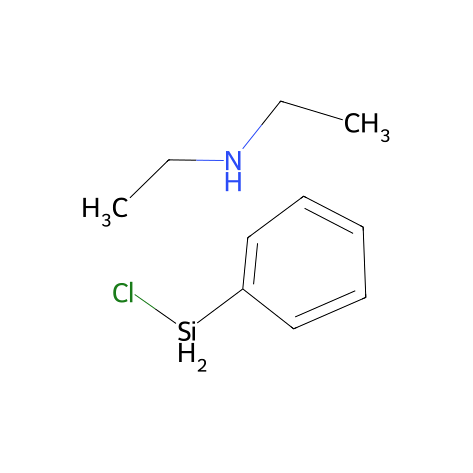 CCNCC.Cl[SiH2]c1ccccc1